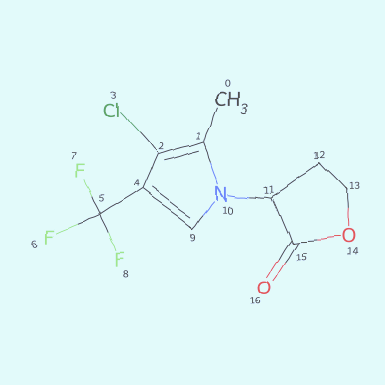 Cc1c(Cl)c(C(F)(F)F)cn1C1CCOC1=O